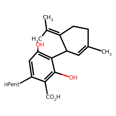 CCCCCc1cc(O)c(C2C=C(C)CCC2=C(C)C)c(O)c1C(=O)O